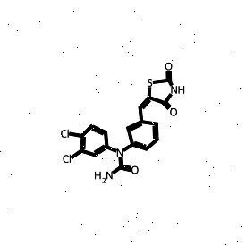 NC(=O)N(c1cccc(C=C2SC(=O)NC2=O)c1)c1ccc(Cl)c(Cl)c1